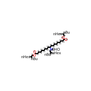 CCCCCCC(CCCC)COC(=O)CCCCCCCCC(CCCCCCCCC(=O)OCC(CCCC)CCCCCC)N(C=O)CC(CCCC)CCCCCC